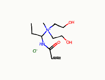 C=CC(=O)NC(CC)[N+](C)(CCO)CCO.[Cl-]